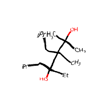 CCC(O)(CC(C)C)C(C)(CC(C)C)C(C)(C)O